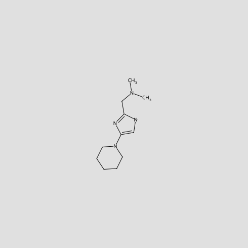 CN(C)CC1=NC(N2CCCCC2)=C[N]1